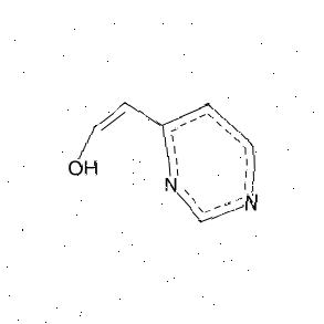 O/C=C\c1ccncn1